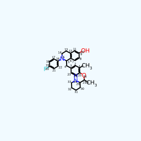 Cc1cc(CC2c3ccc(O)cc3CCN2c2ccc(F)cc2)ccc1OC(C)C1CCCCN1